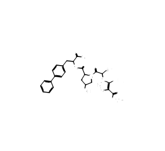 COC(=O)c1nnn(C(C(=O)N2CC(O)CC2C(=O)NC(Cc2ccc(-c3ccccc3)cc2)C(N)=O)C(C)C)c1C